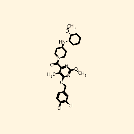 COc1nc(OCc2ccc(Cl)c(Cl)c2)c(C)c(C(=O)N2CCC(N[C@H]3CCCC[C@H]3OC)CC2)n1